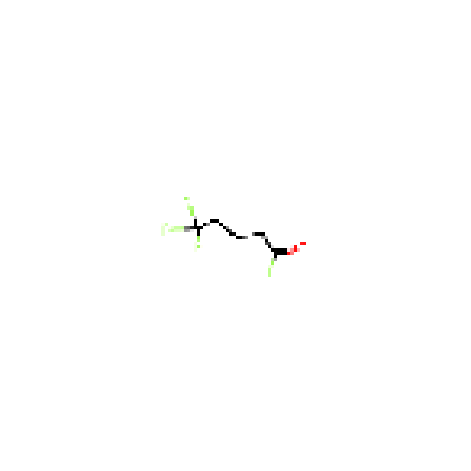 O=C(F)CCCC(F)(F)F